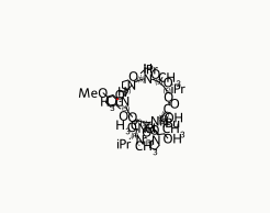 CC[C@H](C)[C@H]1NC(=O)[C@@H](NC(=O)[C@@H](CC(C)C)N(C)C(=O)[C@H]2CCCN2C(=O)C(C)O)[C@@H](C)OC(=O)[C@H](Cc2ccc(OC)cc2)N(C)C(=O)[C@@H]2CCCN2C(=O)[C@H](CC(C)C)NC(=O)[C@@H](C)C(=O)[C@H](C(C)C)OC(=O)C[C@@H]1O